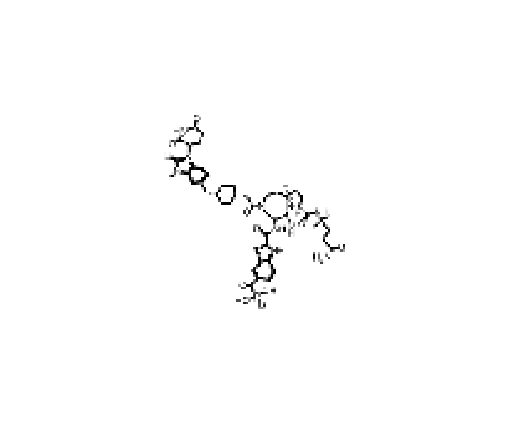 Cn1c(=O)n(C2CCC(=O)NC2=O)c2ccc(C[C@H]3CC[C@@H](CC(=O)N4CC[C@H]5CC[C@@H](C(=O)NC(C)(C)CCC(N)=O)N5C(O)[C@@H](NC(=O)c5cc6cc(C(=O)P(=O)(O)O)ccc6[nH]5)C4)CC3)cc21